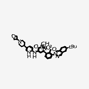 Cn1nc(-c2cccc(-n3ncc4cc(C(C)(C)C)ccc4c3=O)c2CO)cc(NC2C=CC(C3CCN(C4COC4)CC3)=CN2)c1=O